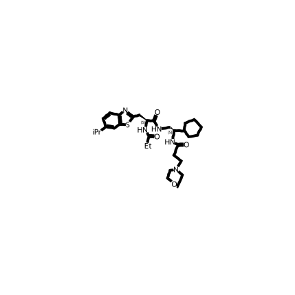 CCC(=O)N[C@@H](Cc1nc2ccc(C(C)C)cc2s1)C(=O)NC[C@@H](NC(=O)CCN1CCOCC1)C1CCCCC1